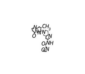 Cc1cc2nccc(=O)n2nc1N1CCc2ncc(NC(=O)c3ncco3)cc2C1